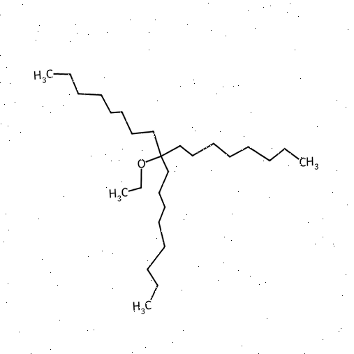 CCCCCCCCC(CCCCCCCC)(CCCCCCCC)OCC